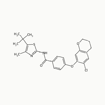 Cc1nc(NC(=O)c2ccc(Oc3cc4c(cc3Cl)CCCO4)cc2)sc1C(C)(C)C